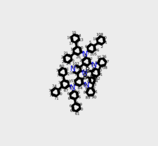 c1ccc(-c2ccc(N(c3cc(-c4ccccc4)cc(-c4ccccc4)c3)c3cc4c5c(c3)-n3c6ccccc6c6cccc(c63)B5N3B5c6c(cc(N(c7ccc(-c8ccccc8)cc7)c7cc(-c8ccccc8)cc(-c8ccccc8)c7)cc6-n6c7ccccc7c7cccc5c76)-c5cncc-4c53)cc2)cc1